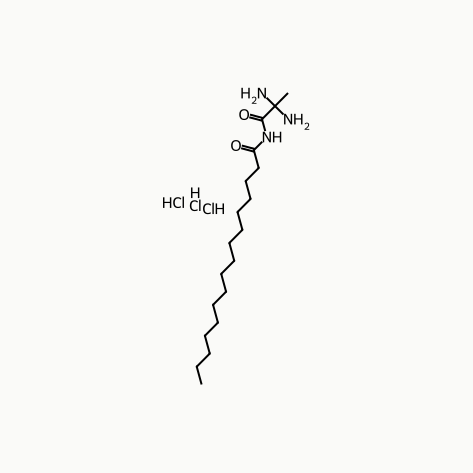 CCCCCCCCCCCCCCCC(=O)NC(=O)C(C)(N)N.Cl.Cl.Cl